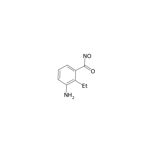 CCc1c(N)cccc1C(=O)N=O